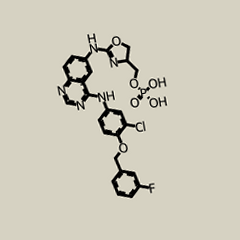 O=P(O)(O)OCC1COC(Nc2ccc3ncnc(Nc4ccc(OCc5cccc(F)c5)c(Cl)c4)c3c2)=N1